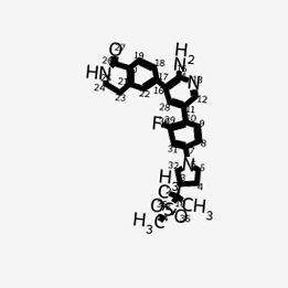 CC(C)([C@@H]1CCN(c2ccc(-c3cnc(N)c(-c4ccc5c(c4)CCNC5=O)c3)c(F)c2)C1)S(C)(=O)=O